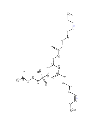 CCCCCCCCCCC/C=C\CCCCC(=O)OCC(COP(=O)(O)OCCN(C)CC)OC(=O)CCCC/C=C\CCCCCCCCCCC